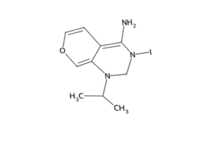 CC(C)N1CN(I)C(N)=C2C=COC=C21